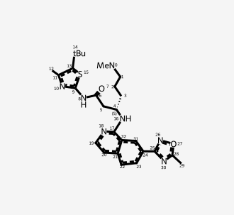 CNCCC[C@@H](CC(=O)Nc1nc(C)c(C(C)(C)C)s1)Nc1nccc2ccc(-c3noc(C)n3)cc12